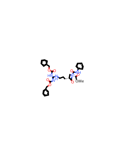 COC(=O)[N@@+]1(C(=O)Nc2ccccc2)C[C@@H](CCCNC(=NC(=O)OCc2ccccc2)NC(=O)OCc2ccccc2)C1=O